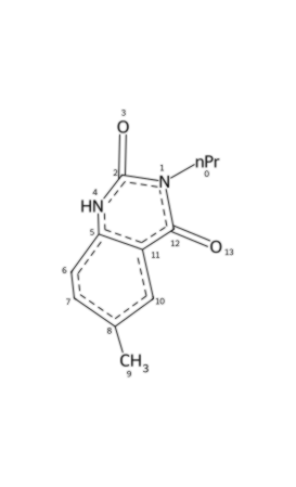 CCCn1c(=O)[nH]c2ccc(C)cc2c1=O